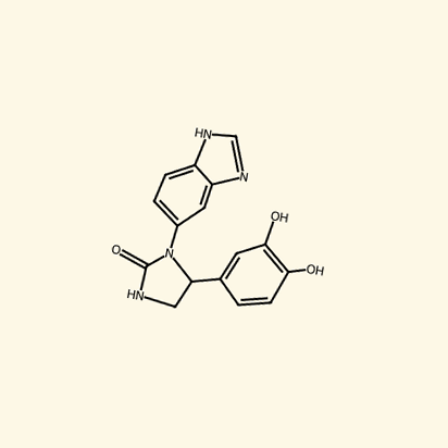 O=C1NCC(c2ccc(O)c(O)c2)N1c1ccc2[nH]cnc2c1